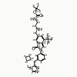 Cn1cnnc1[C@@H](c1cccc(-n2cc3c(C(F)(F)F)cc(CNCCNC(=O)OC(C)(C)C)cn3c2=O)c1)C1CCC1